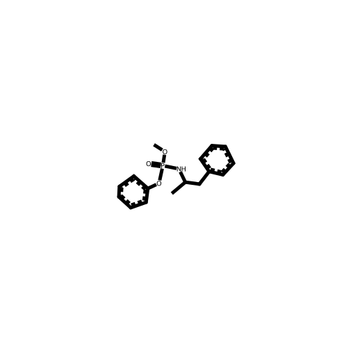 COP(=O)(NC(C)Cc1ccccc1)Oc1ccccc1